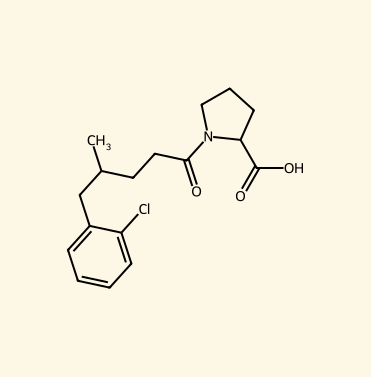 CC(CCC(=O)N1CCCC1C(=O)O)Cc1ccccc1Cl